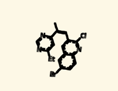 CCc1cc(C(C)=Cc2cc3cc(Br)ccc3nc2Cl)ncn1